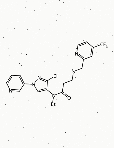 CCN(C(=O)CCSCc1cc(C(F)(F)F)ccn1)c1cn(-c2cccnc2)nc1Cl